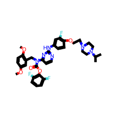 COc1ccc(OC)c(CN(C(=O)Oc2c(F)cccc2F)c2ccnc(Nc3ccc(OCCN4CCN(C(C)C)CC4)c(F)c3)n2)c1